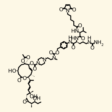 CC[C@H](O)[C@@H](C)[C@H]1O[C@@H]1C[C@@](C)(O)/C=C/C=C(\C)[C@H]1OC(=O)C[C@H](O)CC[C@@](C)(OC(C)=O)[C@@H](OC(=O)N2CCN(CCN(C)C(=O)OCc3ccc(NC(=O)[C@H](CCCNC(N)=O)NC(=O)[C@@H](NC(=O)CCCCCN4C(=O)C=CC4=O)C(C)C)cc3)CC2)/C=C/[C@@H]1C